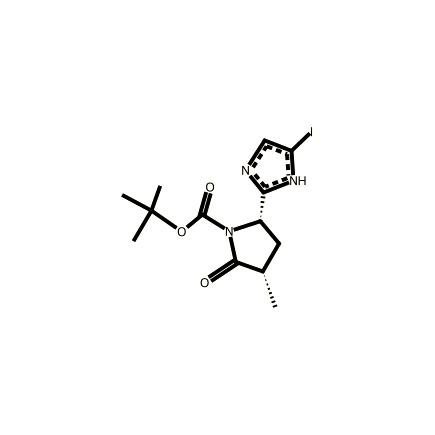 C[C@H]1C[C@@H](c2ncc(I)[nH]2)N(C(=O)OC(C)(C)C)C1=O